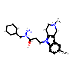 Cc1ccc2c(c1)c1c(n2CCC(=O)N(N)CC2CCCCC2)CCN(C)C1